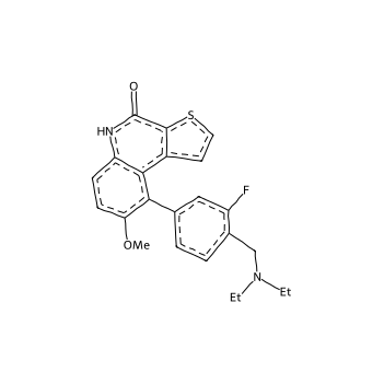 CCN(CC)Cc1ccc(-c2c(OC)ccc3[nH]c(=O)c4sccc4c23)cc1F